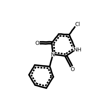 O=c1cc(Cl)[nH]c(=O)n1-c1ccccc1